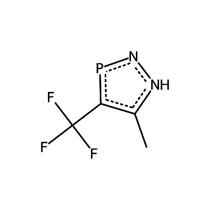 Cc1[nH]npc1C(F)(F)F